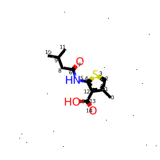 Cc1csc(NC(=O)CC(C)C)c1C(=O)O